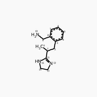 CC(Cc1ccccc1CN)C1=NCCN1